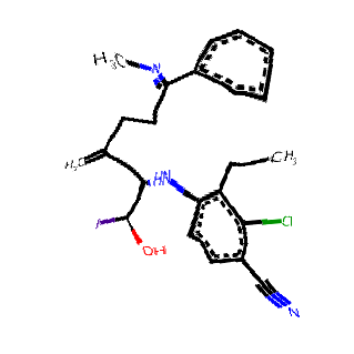 C=C(CC/C(=N\C)c1ccccc1)[C@H](Nc1ccc(C#N)c(Cl)c1CC)[C@@H](O)I